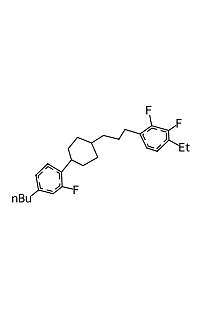 CCCCc1ccc(C2CCC(CCCc3ccc(CC)c(F)c3F)CC2)c(F)c1